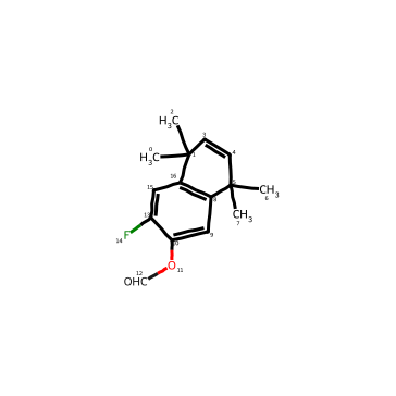 CC1(C)C=CC(C)(C)c2cc(OC=O)c(F)cc21